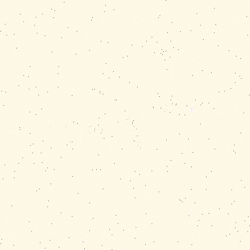 C=CC(=O)OCC(COc1ccc(OC(=O)C2CCC(C(=O)Oc3ccc(OC(=O)C4CCC(C(=O)Oc5ccc(C(=O)OCOC(=O)/C=C6\CO6)cc5)CC4)c4nc(-c5ccc([N+](=O)[O-])cc5)sc34)CC2)cc1)OC(=O)C=C